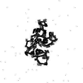 CCOC(=O)C1=C(CN2CCN3C(=O)N(CC4(C(=O)O)CCOCC4)CC3(C)C2)NC(c2nccs2)=NC1c1cccc(F)c1C